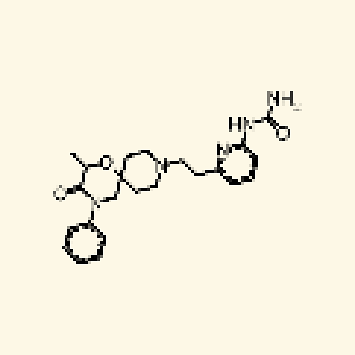 CC1OC2(CCN(CCc3cccc(NC(N)=O)n3)CC2)CN(c2ccccc2)C1=O